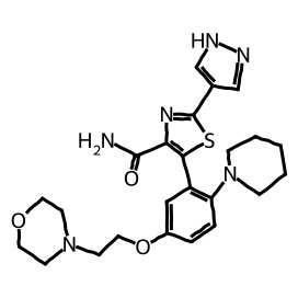 NC(=O)c1nc(-c2cn[nH]c2)sc1-c1cc(OCCN2CCOCC2)ccc1N1CCCCC1